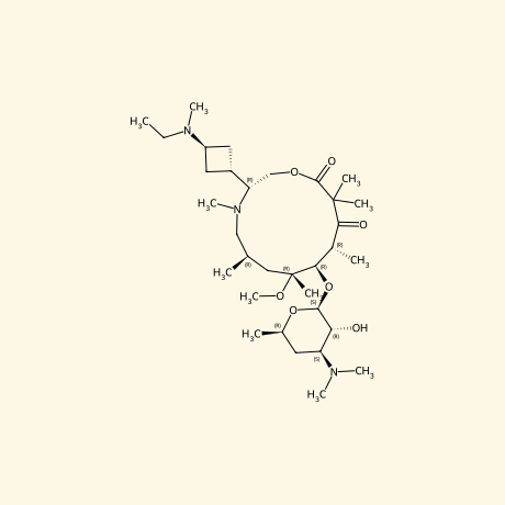 CCN(C)[C@H]1C[C@H]([C@@H]2COC(=O)C(C)(C)C(=O)[C@H](C)[C@@H](O[C@@H]3O[C@H](C)C[C@H](N(C)C)[C@H]3O)[C@](C)(OC)C[C@@H](C)CN2C)C1